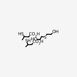 CC(S)CC(=O)O.CC(S)CC(=O)O.OCCSCCO